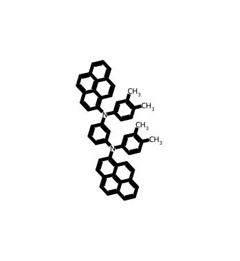 Cc1ccc(N(c2cccc(N(c3ccc(C)c(C)c3)c3ccc4ccc5cccc6ccc3c4c56)c2)c2ccc3ccc4cccc5ccc2c3c45)cc1C